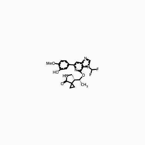 COc1ccc(-c2cc3ncn(C(F)F)c3c(O[C@H](C)[C@H]3CNC(=O)C34CC4)n2)cc1O